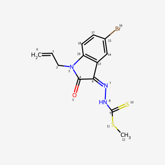 C=CCN1C(=O)C(=NNC(=S)SC)c2cc(Br)ccc21